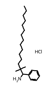 CCCCCCCCCCCCCC(C)(C)C(N)c1ccccc1.Cl